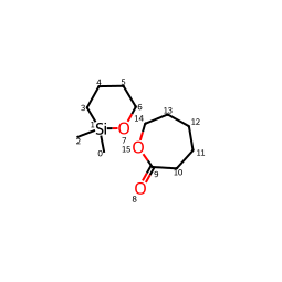 C[Si]1(C)CCCCO1.O=C1CCCCCO1